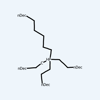 CCCCCCCCCCCCCCC[PH](CCCCCCCCCCCC)(CCCCCCCCCCCC)CCCCCCCCCCCC